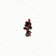 C=C(OS(=O)(=O)C(F)(F)F)[C@H](C)C[C@H]1CC[C@@H]2O[C@@H](CCC(C=C[C@H](O[Si](C)(C)C(C)(C)C)[C@@H]3O[C@H]4CC[C@H](CC=O)O[C@@H]4[C@H](O[Si](C)(C)C(C)(C)C)[C@@H]3O[Si](C)(C)C(C)(C)C)OC(=O)c3ccccc3)C[C@]2(CI)O1